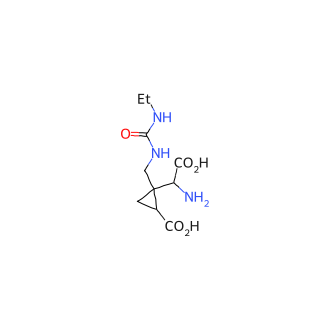 CCNC(=O)NCC1(C(N)C(=O)O)CC1C(=O)O